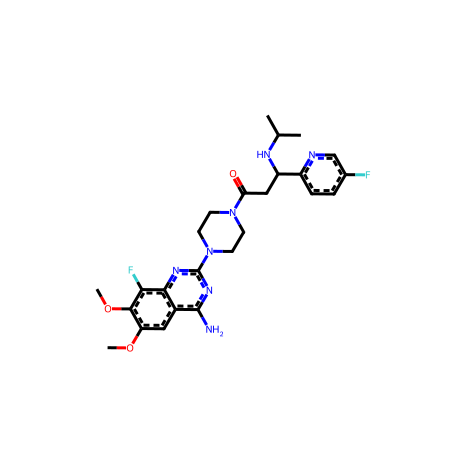 COc1cc2c(N)nc(N3CCN(C(=O)CC(NC(C)C)c4ccc(F)cn4)CC3)nc2c(F)c1OC